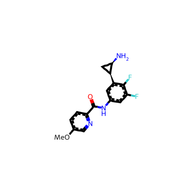 COc1ccc(C(=O)Nc2cc(F)c(F)c([C@H]3C[C@H]3N)c2)nc1